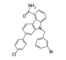 NC(=O)c1cccc2c1c1[c]cc(-c3ccc(Cl)cc3)cc1n2Cc1cccc(Br)c1